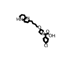 O=C(O)C(c1ccc(Cl)cc1)N1CC[C@@H](OCCCCc2ccc3c(n2)CCCN3)C1